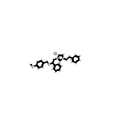 COc1ccc(COC(C[n+]2ccn(CCc3ccccc3)c2)c2ccccc2)cc1.[Cl-]